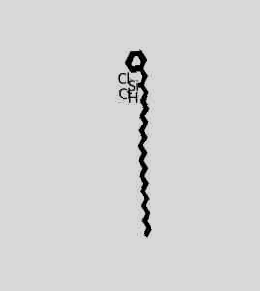 CCCCCCCCCCCCCCCCCCCCC(Cc1ccccc1)[SiH](Cl)Cl